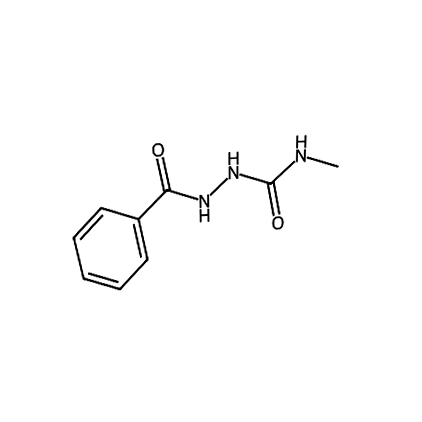 CNC(=O)NNC(=O)c1ccccc1